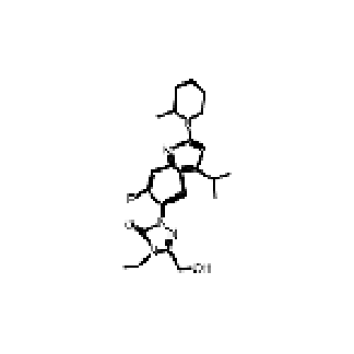 CCn1c(CO)nn(-c2cc3c(C(C)C)cc(N4CCCCC4C)nc3cc2F)c1=O